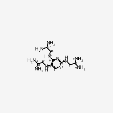 NC(N)CNc1ncc(NCC(N)N)c(NCC(N)N)n1